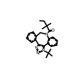 CCC(C)(C)C(=O)N1Cc2ccccc2-c2nnn(C(C)(C)C)c2-c2ccccc21